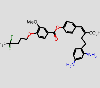 COc1cc(C(=O)Oc2ccc(C=C(CCc3ccc(N)cc3N)C(=O)O)cc2)ccc1OCCCC(F)(F)C(F)(F)F